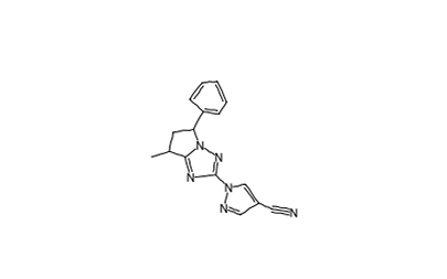 CC1CC(c2ccccc2)n2nc(-n3cc(C#N)cn3)nc21